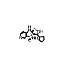 NS(=O)(=O)c1cnccc1Nc1cc(C2CCCC2)[nH]n1